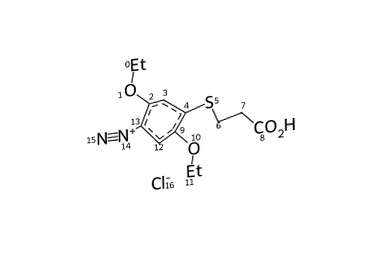 CCOc1cc(SCCC(=O)O)c(OCC)cc1[N+]#N.[Cl-]